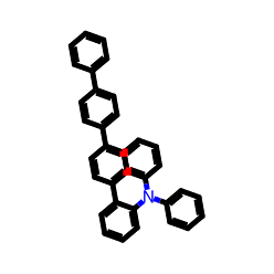 c1ccc(-c2ccc(-c3ccc(-c4ccccc4N(c4ccccc4)c4ccccc4)cc3)cc2)cc1